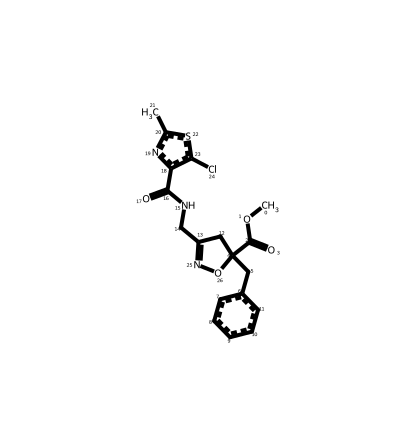 COC(=O)C1(Cc2ccccc2)CC(CNC(=O)c2nc(C)sc2Cl)=NO1